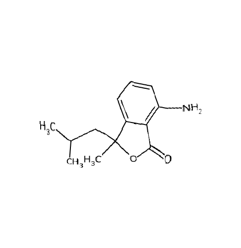 CC(C)CC1(C)OC(=O)c2c(N)cccc21